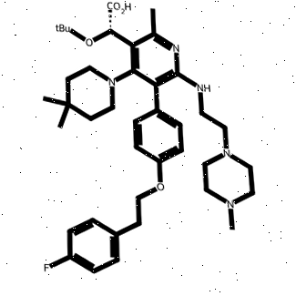 Cc1nc(NCCN2CCN(C)CC2)c(-c2ccc(OCCc3ccc(F)cc3)cc2)c(N2CCC(C)(C)CC2)c1[C@H](OC(C)(C)C)C(=O)O